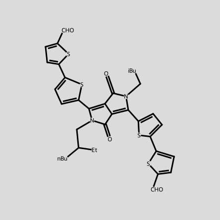 CCCCC(CC)CN1C(=O)C2=C(c3ccc(-c4ccc(C=O)s4)s3)N(CC(C)CC)C(=O)C2=C1c1ccc(-c2ccc(C=O)s2)s1